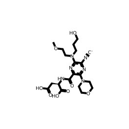 [C-]#[N+]c1nc(N2CCOCC2)c(C(=O)N[C@H](CC(=O)O)C(=O)O)nc1N(CCCO)CCOC